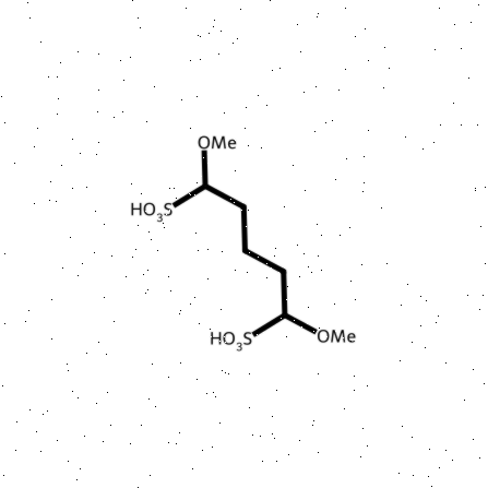 COC(CCCC(OC)S(=O)(=O)O)S(=O)(=O)O